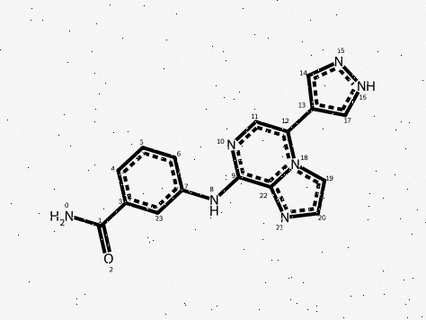 NC(=O)c1cccc(Nc2ncc(-c3cn[nH]c3)n3ccnc23)c1